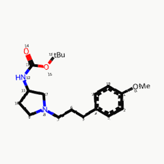 COc1ccc(CCCN2CCC(NC(=O)OC(C)(C)C)C2)cc1